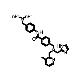 CCCN(CCC)Cc1ccc(NC(=O)c2ccc(CN(Cc3ncc[nH]3)Cc3ncccc3C)cc2)cc1